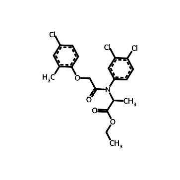 CCOC(=O)C(C)N(C(=O)COc1ccc(Cl)cc1C)c1ccc(Cl)c(Cl)c1